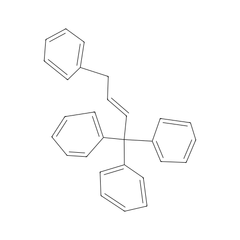 C(=CC(c1ccccc1)(c1ccccc1)c1ccccc1)Cc1ccccc1